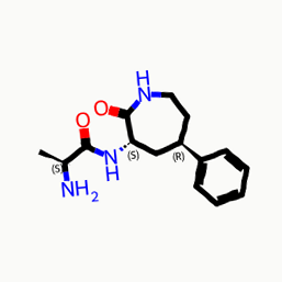 C[C@H](N)C(=O)N[C@H]1C[C@H](c2ccccc2)CCNC1=O